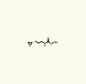 CC(C)(C)OC(=O)NCCC[C@H]1CO1